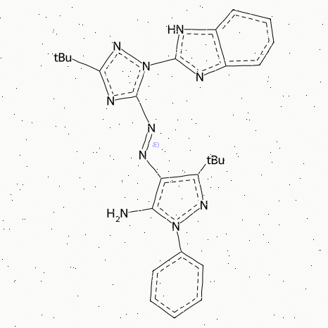 CC(C)(C)c1nc(/N=N/c2c(C(C)(C)C)nn(-c3ccccc3)c2N)n(-c2nc3ccccc3[nH]2)n1